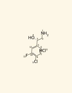 Cl.NC[C@@H](O)c1ccc(Cl)c(F)c1